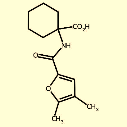 Cc1cc(C(=O)NC2(C(=O)O)CCCCC2)oc1C